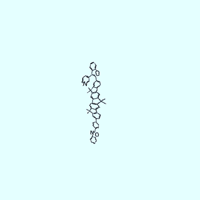 CC1(C)c2cc(-c3ccc(-c4nc5ccccc5o4)cc3)ccc2-c2cc3c(cc21)-c1cc2c(cc1C3(C)C)-c1ccc(-c3oc4ccccc4c3-c3cccnc3)cc1C2(C)C